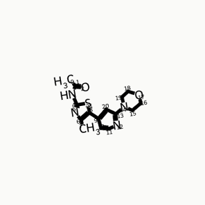 CC(=O)Nc1nc(C)c(-c2ccnc(N3CCOCC3)c2)s1